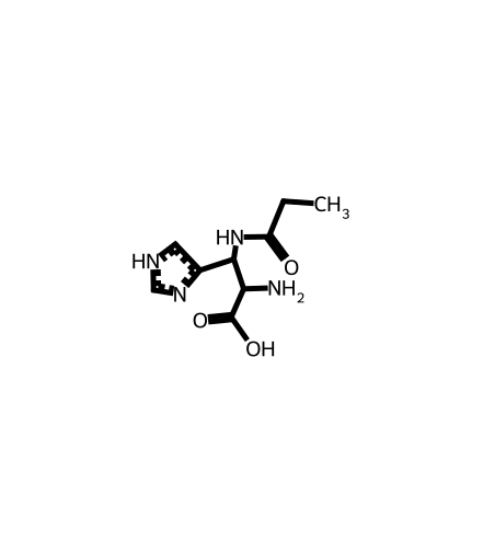 CCC(=O)NC(c1c[nH]cn1)C(N)C(=O)O